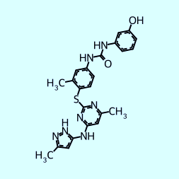 Cc1cc(Nc2cc(C)nc(Sc3ccc(NC(=O)Nc4cccc(O)c4)cc3C)n2)[nH]n1